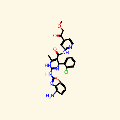 COCC(=O)c1ccnc(NC(=O)C2=C(C)NC(Nc3nc4c(N)cccc4o3)=NC2c2ccccc2Cl)c1